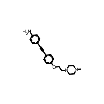 CN1CCN(CCOc2ccc(C#Cc3ccc(N)cc3)cc2)CC1